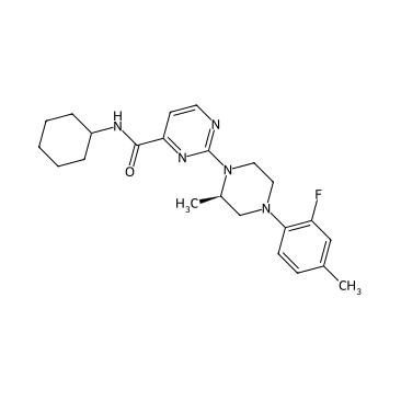 Cc1ccc(N2CCN(c3nccc(C(=O)NC4CCCCC4)n3)[C@H](C)C2)c(F)c1